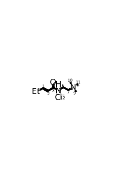 CCC=CC(=O)NCC[N+](C)(C)C.[Cl-]